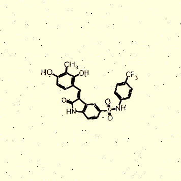 Cc1c(O)ccc(C=C2C(=O)Nc3ccc(S(=O)(=O)Nc4ccc(C(F)(F)F)cc4)cc32)c1O